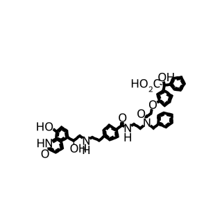 O=C(NCCN(Cc1ccccc1)C(=O)COc1cccc([C@](O)(C(=O)O)c2ccccc2)c1)c1ccc(CCNC[C@H](O)c2ccc(O)c3[nH]c(=O)ccc23)cc1